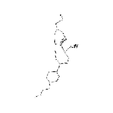 CCCCC1CCC(C2CCC(C#N)(C3=CCC(CCC)CC3)CC2)CC1